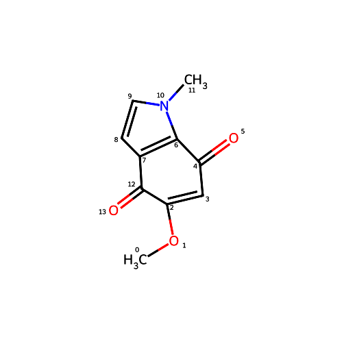 COC1=CC(=O)c2c(ccn2C)C1=O